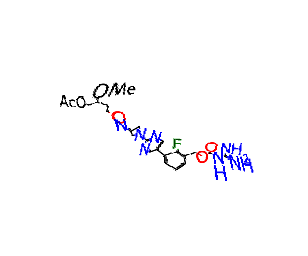 COC(CCON=C1CN(c2ncc(-c3cccc(COC(=O)NC(=N)N)c3F)cn2)C1)COC(C)=O